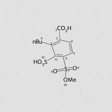 CCCCc1c(C(=O)O)ccc(S(=O)(=O)OC)c1S(=O)(=O)O